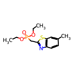 CCOP(=O)(Cc1nc2ccc(C)cc2s1)OCC